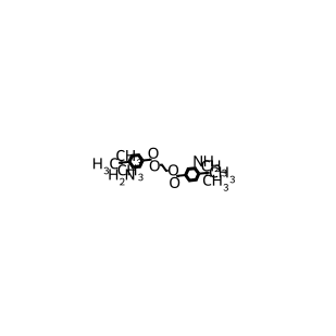 CC(C)(C)c1ccc(C(=O)OCCOC(=O)c2ccc(C(C)(C)C)c(N)c2)cc1N